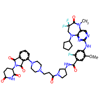 COc1cc(C(=O)N[C@H]2CCN(C(=O)CCN3CCN(c4cccc5c4C(=O)N(C4CCC(=O)NC4=O)C5=O)CC3)C2)c(F)cc1Nc1ncc2c(n1)N(C1CCCC1)CC(F)(F)C(=O)N2C